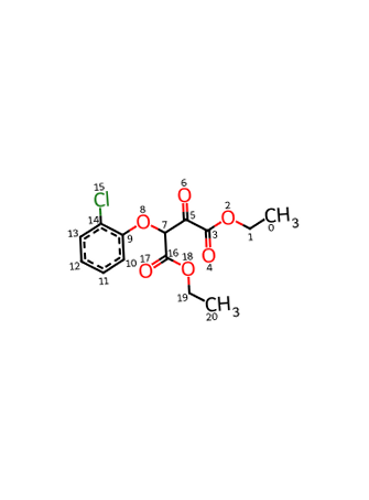 CCOC(=O)C(=O)C(Oc1ccccc1Cl)C(=O)OCC